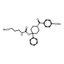 COCCCNC(=O)OC1(c2ccccc2)CCN(C(=O)c2ccc(OC)cc2)CC1